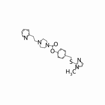 Cn1ccnc1SCc1ccc(OC(=O)N2CCN(CCc3ccccn3)CC2)cc1